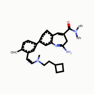 CCCN(CCC)C(=O)C1=Cc2ccc(-c3ccc(C=O)c(/C=C\N(C)CCC4CCC4)c3)cc2N=C(N)C1